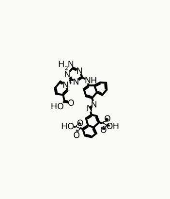 Nc1nc(Nc2ccc(N=Nc3cc(S(=O)(=O)O)c4cccc(S(=O)(=O)O)c4c3)c3ccccc23)nc(-[n+]2cccc(C(=O)O)c2)n1